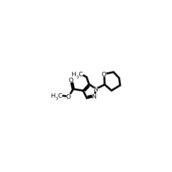 CCc1c(C(=O)OC)cnn1C1CCCCO1